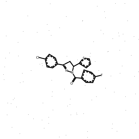 O=C(c1ccc(F)cc1)N1N=C(c2ccc(Cl)cc2)CC1c1cccs1